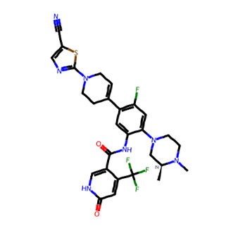 C[C@H]1CN(c2cc(F)c(C3=CCN(c4ncc(C#N)s4)CC3)cc2NC(=O)c2c[nH]c(=O)cc2C(F)(F)F)CCN1C